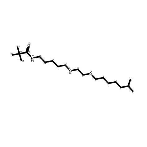 CC(C)CCCCCOCCOCCCCCNC(=O)C(C)(C)C